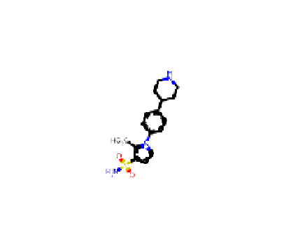 NS(=O)(=O)c1ccn(-c2ccc(C3CCNCC3)cc2)c1C(=O)O